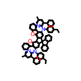 CCc1ccc(N(c2ncc(C)cc2-c2ccccc2)c2cc3c(c4oc5ccccc5c24)-c2c(cc(N(c4ccc(CC)cc4)c4ncc(C)cc4-c4ccccc4)c4c2oc2ccccc24)C32c3ccccc3-c3ccccc32)cc1